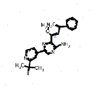 C=C(/C=C(\ON)c1nc(-c2ccnc(C(C)(C)I)c2)cnc1N)c1ccccc1